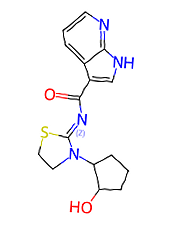 O=C(/N=C1\SCCN1C1CCCC1O)c1c[nH]c2ncccc12